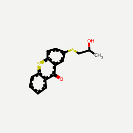 CC(O)CSc1ccc2sc3ccccc3c(=O)c2c1